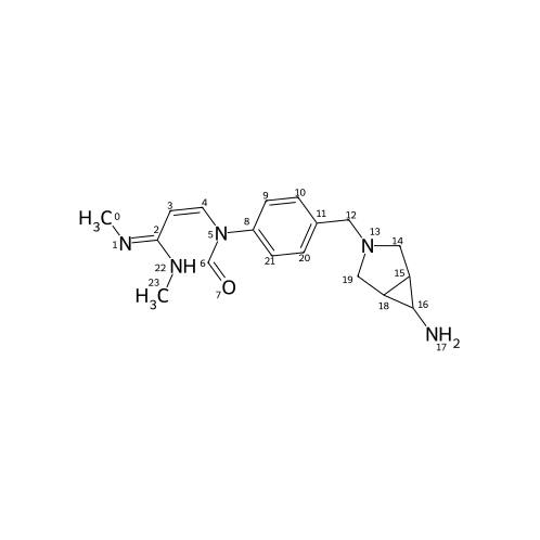 C/N=C(\C=C/N(C=O)c1ccc(CN2CC3C(N)C3C2)cc1)NC